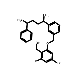 CC(C)c1cc(F)c(CO)c(OCc2cccc(C(C)CCC(C)c3ccccc3)c2)c1